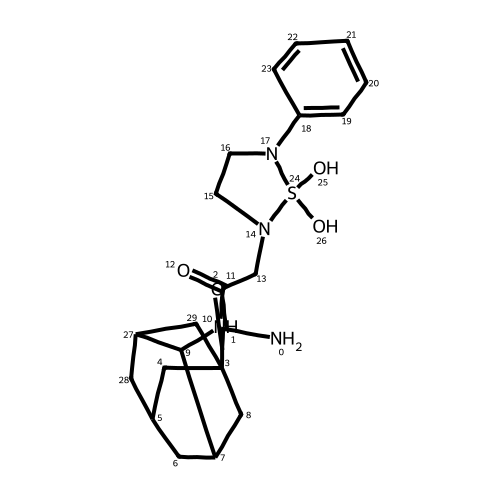 NC(=O)C12CC3CC(C1)C(NC(=O)CN1CCN(c4ccccc4)S1(O)O)C(C3)C2